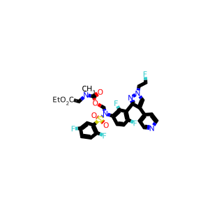 CCOC(=O)CN(C)C(=O)OCN(c1ccc(F)c(-c2nn(CCF)cc2-c2ccncc2)c1F)S(=O)(=O)c1cc(F)ccc1F